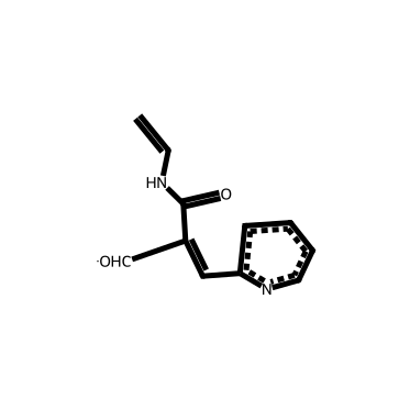 C=CNC(=O)C([C]=O)=Cc1ccccn1